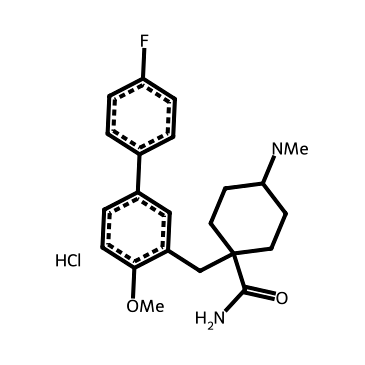 CNC1CCC(Cc2cc(-c3ccc(F)cc3)ccc2OC)(C(N)=O)CC1.Cl